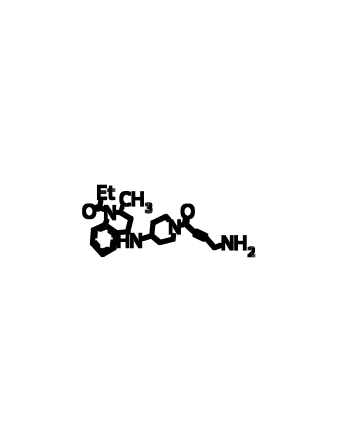 CCC(=O)N1c2ccccc2[C@H](NC2CCN(C(=O)C#CCN)CC2)C[C@@H]1C